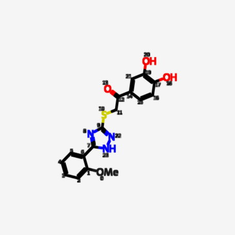 COc1ccccc1-c1nc(SCC(=O)c2ccc(O)c(O)c2)n[nH]1